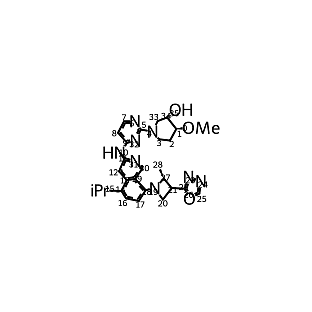 CO[C@H]1CCN(c2nccc(Nc3cc4c(C(C)C)ccc(N5CC(c6nnco6)[C@@H]5C)c4cn3)n2)C[C@@H]1O